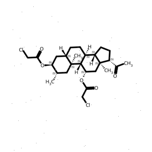 CC(=O)[C@H]1CC[C@H]2[C@@H]3CC[C@H]4C[C@H](OC(=O)CCl)[C@@H](C)C[C@]4(C)[C@H]3[C@@H](OC(=O)CCl)C[C@]12C